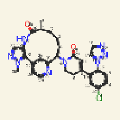 CC1CCCC(N2CCC(c3cc(Cl)ccc3-n3ccnn3)=CC2=O)c2cc(ccn2)-c2c(cnn2C)NC1=O